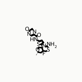 COc1cnc(C(=O)Nc2ccc([C@]34CO[C@@H](C)C[C@@]3(F)CSC(N)=N4)s2)cn1